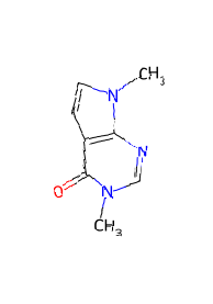 Cn1cnc2c(ccn2C)c1=O